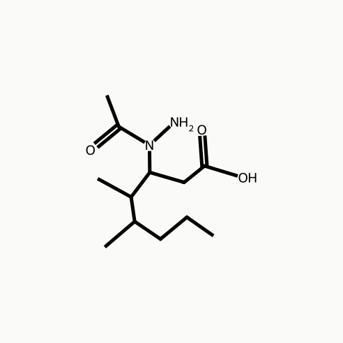 CCCC(C)C(C)C(CC(=O)O)N(N)C(C)=O